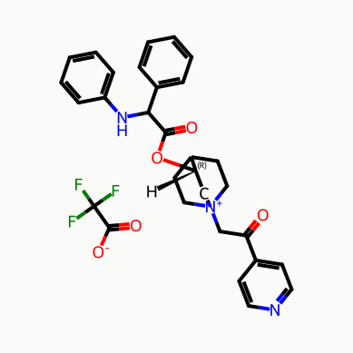 O=C(C[N+]12CCC(CC1)[C@@H](OC(=O)C(Nc1ccccc1)c1ccccc1)C2)c1ccncc1.O=C([O-])C(F)(F)F